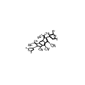 N#CC(C#N)=C1C(c2cc(F)nc(F)c2)=C(C#N)c2c1cc1c(c2C#N)C(C#N)=C(c2cc(F)nc(F)c2)C1=C(C#N)C#N